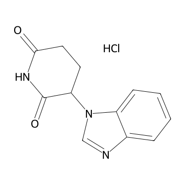 Cl.O=C1CCC(n2cnc3ccccc32)C(=O)N1